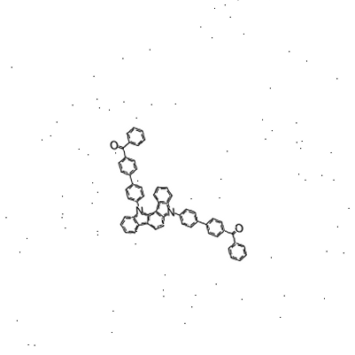 O=C(c1ccccc1)c1ccc(-c2ccc(-n3c4ccccc4c4c3ccc3c5ccccc5n(-c5ccc(-c6ccc(C(=O)c7ccccc7)cc6)cc5)c34)cc2)cc1